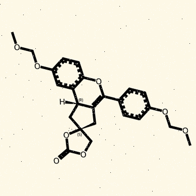 COCOc1ccc(C2=C3C[C@]4(COC(=O)O4)C[C@@H]3c3cc(OCOC)ccc3O2)cc1